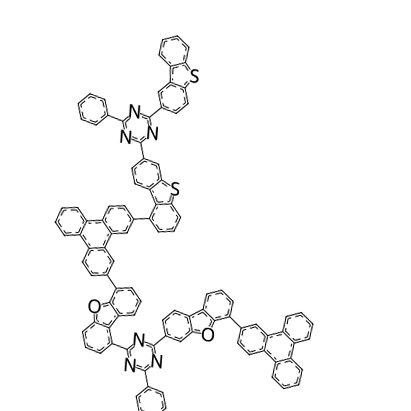 c1ccc(-c2nc(-c3ccc4c(c3)sc3cccc(-c5ccc6c7ccccc7c7ccc(-c8cccc9c8oc8cccc(-c%10nc(-c%11ccccc%11)nc(-c%11ccc%12c(c%11)oc%11c(-c%13ccc%14c%15ccccc%15c%15ccccc%15c%14c%13)cccc%11%12)n%10)c89)cc7c6c5)c34)nc(-c3ccc4sc5ccccc5c4c3)n2)cc1